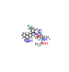 C[C@@H](O)CNC(C)(C)CC(=O)N[C@@H]1CCc2cc(C(F)(F)F)ccc2N(Cc2ccc(-c3ccccc3-c3c[nH]cn3)cc2)C1=O